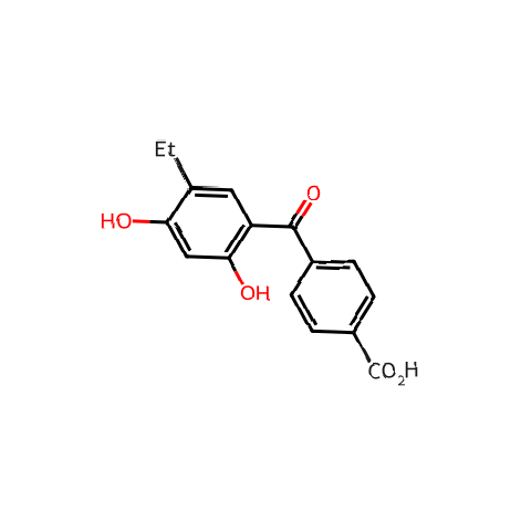 CCc1cc(C(=O)c2ccc(C(=O)O)cc2)c(O)cc1O